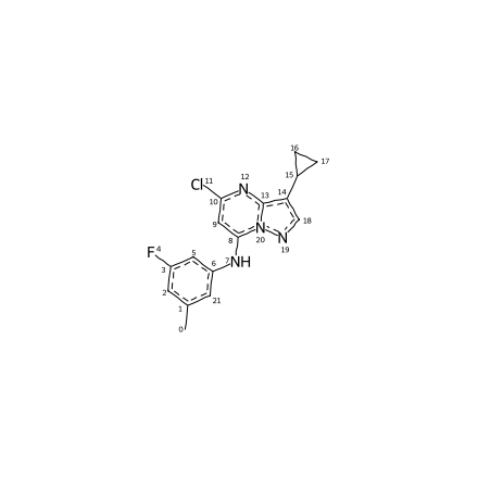 Cc1cc(F)cc(Nc2cc(Cl)nc3c(C4CC4)cnn23)c1